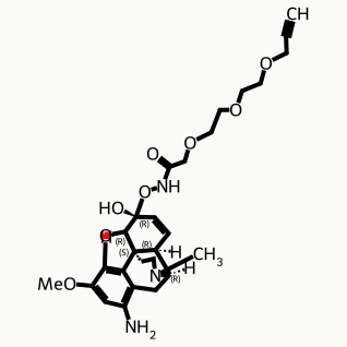 C#CCOCCOCCOCC(=O)NO[C@]1(O)C=C[C@H]2[C@H]3Cc4c(N)cc(OC)c5c4[C@@]2(CCN3C)[C@H]1O5